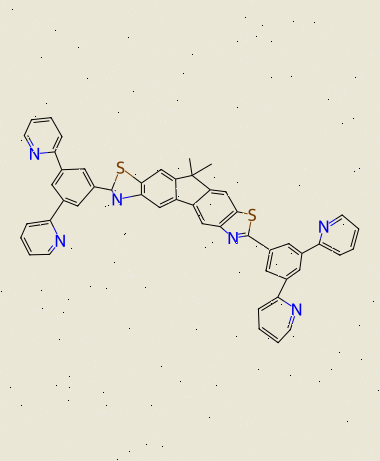 CC1(C)c2cc3sc(-c4cc(-c5ccccn5)cc(-c5ccccn5)c4)nc3cc2-c2cc3nc(-c4cc(-c5ccccn5)cc(-c5ccccn5)c4)sc3cc21